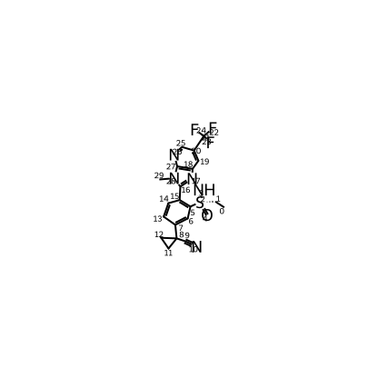 CC[S@](=N)(=O)c1cc(C2(C#N)CC2)ccc1-c1nc2cc(C(F)(F)F)cnc2n1C